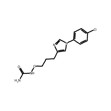 NC(=O)NOCCCc1cn(-c2ccc(Cl)cc2)cn1